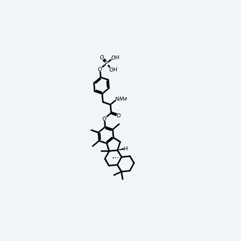 CNC(Cc1ccc(OP(=O)(O)O)cc1)C(=O)Oc1c(C)c(C)c2c(c1C)C[C@H]1C2(C)CCC2C(C)(C)CCC[C@@]21C